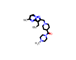 CN1CCN(C(=O)C2CCN(Cc3nn4ccc(C#N)nc4c3CC(C)(C)C)CC2)CC1